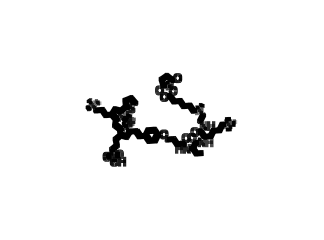 CCC(NC(=O)CCCOc1ccc(/C=C/C2=[N+]3C(=Cc4c(CCC[N+](C)(C)C)cc(-c5cccs5)n4[B-]3(F)F)C(CCCS(=O)(=O)O)=C2)cc1)C(=O)NC(CCCC[N+](C)(C)C)C(=O)NCCN(C)CCCCCC(=O)ON1C(=O)CCC1=O